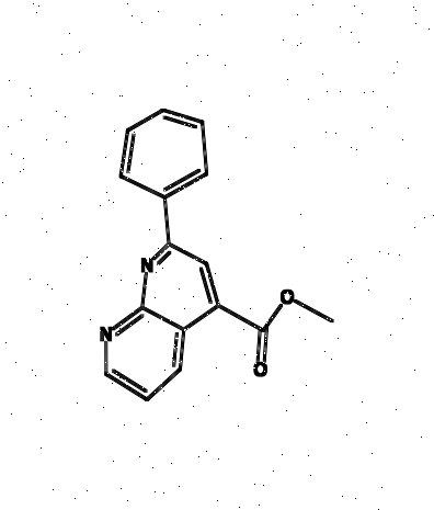 COC(=O)c1cc(-c2ccccc2)nc2ncccc12